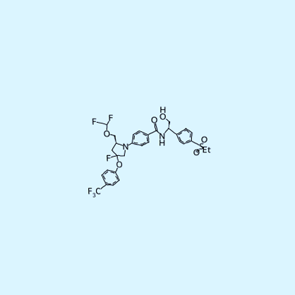 CCS(=O)(=O)c1ccc([C@H](CO)NC(=O)c2ccc(N3CC(F)(Oc4ccc(C(F)(F)F)cc4)C[C@H]3COC(F)F)cc2)cc1